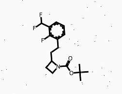 CC(C)(C)OC(=O)N1CCC1C[CH]c1cccc(C(F)F)c1F